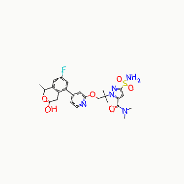 CC(C)c1cc(F)cc(-c2ccnc(OCC(C)(C)n3nc(S(N)(=O)=O)cc3C(=O)N(C)C)c2)c1CC(=O)O